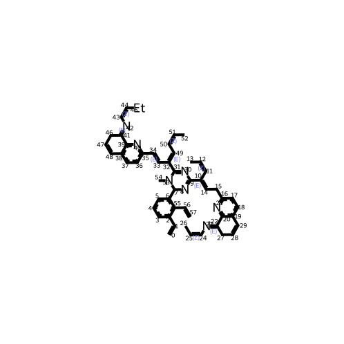 C=Cc1cccc(C2N=C(C(/C=C\C)=C/Cc3ccc4c(n3)/C(=N/C=C\C)CC=C4)N=C(C(/C=C/c3ccc4c(n3)/C(=N/C=C\CC)CC=C4)=C/C=C\C)N2C)c1C=C